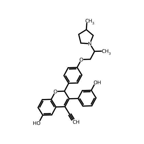 C#CC1=C(c2cccc(O)c2)C(c2ccc(OCC(C)N3CCC(C)C3)cc2)Oc2ccc(O)cc21